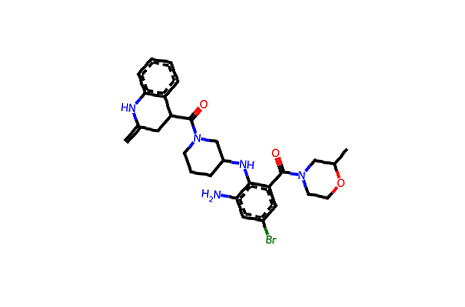 C=C1CC(C(=O)N2CCCC(Nc3c(N)cc(Br)cc3C(=O)N3CCOC(C)C3)C2)c2ccccc2N1